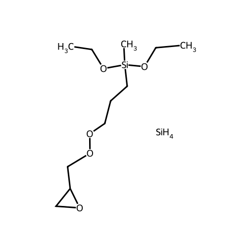 CCO[Si](C)(CCCOOCC1CO1)OCC.[SiH4]